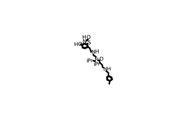 Cc1ccc(CCNCCCC(=O)N(CCNCCc2ccc(O)c3[nH]c(=O)sc23)C(C(C)C)C(C)C)cc1